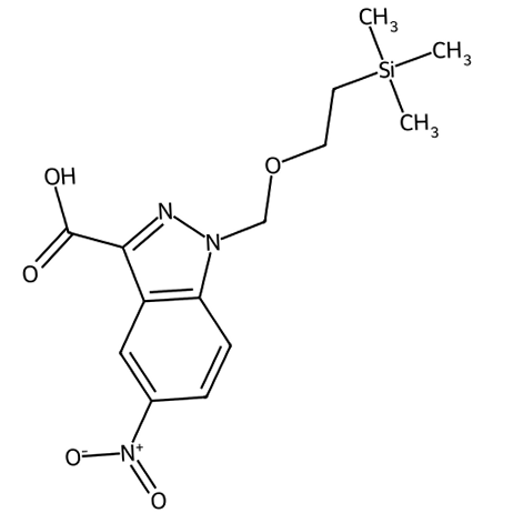 C[Si](C)(C)CCOCn1nc(C(=O)O)c2cc([N+](=O)[O-])ccc21